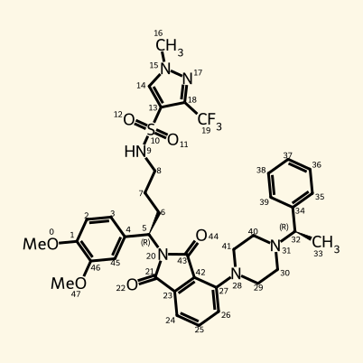 COc1ccc([C@@H](CCCNS(=O)(=O)c2cn(C)nc2C(F)(F)F)N2C(=O)c3cccc(N4CCN([C@H](C)c5ccccc5)CC4)c3C2=O)cc1OC